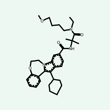 CCN(CCCCOC)C(=O)C(C)(C)NC(=O)c1ccc2c(C3CCCCC3)c3n(c2c1)CCOc1ccccc1-3